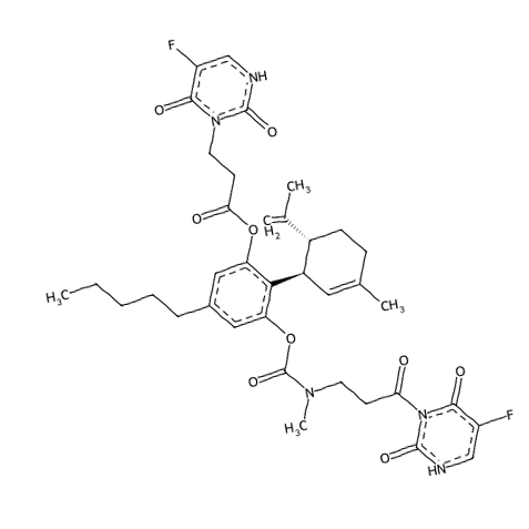 C=C(C)[C@@H]1CCC(C)=C[C@H]1c1c(OC(=O)CCn2c(=O)[nH]cc(F)c2=O)cc(CCCCC)cc1OC(=O)N(C)CCC(=O)n1c(=O)[nH]cc(F)c1=O